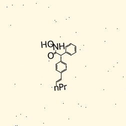 CCC/C=C/c1ccc(C(C(=O)NO)c2ccccc2)cc1